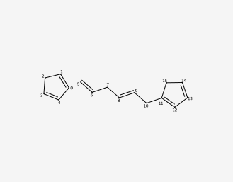 C1=CCC=C1.C=CCC=CCC1=CC=CC1